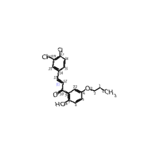 CCCOc1ccc(O)c(C(=O)/C=C/c2ccc(Cl)c(Cl)c2)c1